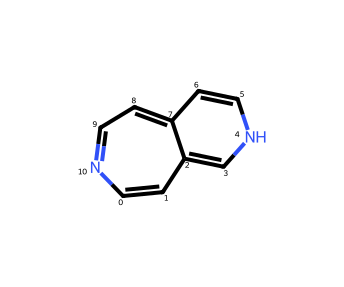 C1=CC2=CNC=CC2=CC=N1